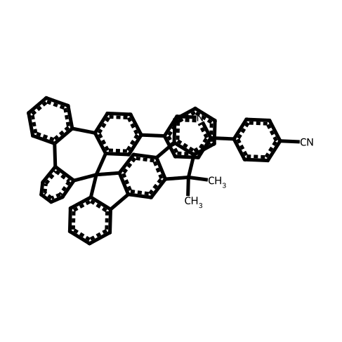 CC1(C)c2ccccc2-c2cc3c(cc21)-c1ccccc1C31c2ccccc2-c2ccccc2-c2ccc(-c3ccc(-c4ccc(C#N)cc4)nc3)cc21